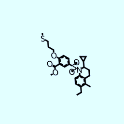 CCc1ccc2c(c1C)CCC(C1CC1)N2S(=O)(=O)c1ccc(OCCCSC)c(C(=O)OC)c1